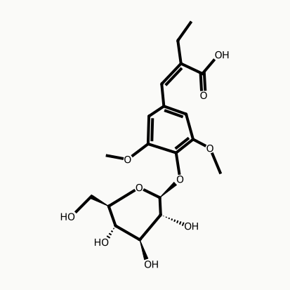 CCC(=Cc1cc(OC)c(O[C@@H]2O[C@H](CO)[C@@H](O)[C@H](O)[C@H]2O)c(OC)c1)C(=O)O